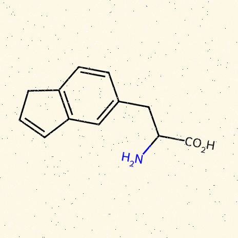 NC(Cc1ccc2c(c1)C=CC2)C(=O)O